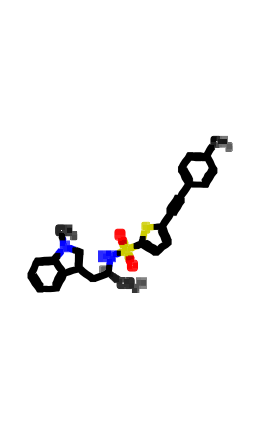 Cc1ccc(C#Cc2ccc(S(=O)(=O)N[C@H](Cc3cn(C)c4ccccc34)C(=O)O)s2)cc1